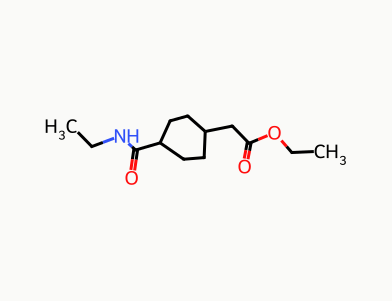 CCNC(=O)C1CCC(CC(=O)OCC)CC1